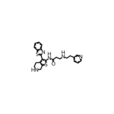 O=C(CCNCCc1cccnc1)Nc1sc2c(c1-c1nc3ccccc3s1)CCNC2